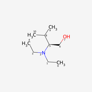 CCN(CC)[C@H](CO)C(C)C